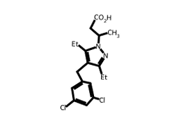 CCc1nn(C(C)CC(=O)O)c(CC)c1Cc1cc(Cl)cc(Cl)c1